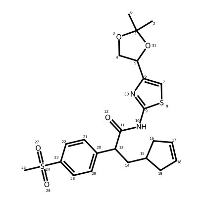 CC1(C)OCC(c2csc(NC(=O)C(CC3CC=CC3)c3ccc(S(C)(=O)=O)cc3)n2)O1